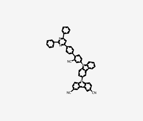 N#Cc1ccc2c(c1)c1cc(C#N)ccc1n2-c1ccc2c(c1)c1ccccc1n2-c1ccc(-c2ccc(-c3cc(-c4ccccc4)nc(-c4ccccc4)n3)cc2)c(C#N)c1